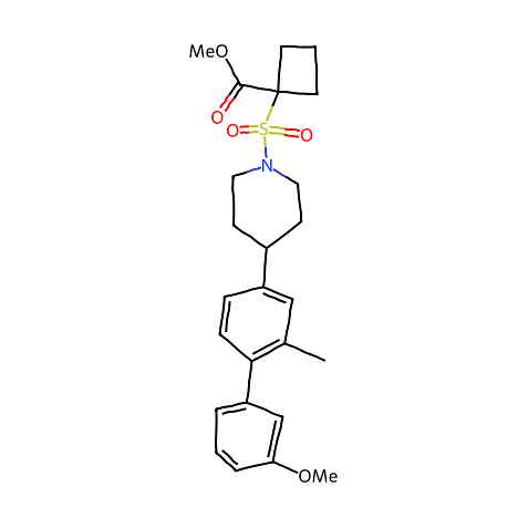 COC(=O)C1(S(=O)(=O)N2CCC(c3ccc(-c4cccc(OC)c4)c(C)c3)CC2)CCC1